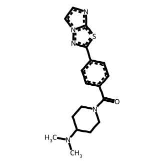 CN(C)C1CCN(C(=O)c2ccc(-c3nn4ccnc4s3)cc2)CC1